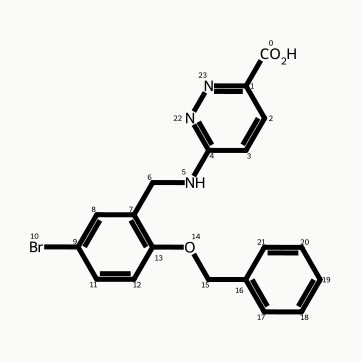 O=C(O)c1ccc(NCc2cc(Br)ccc2OCc2ccccc2)nn1